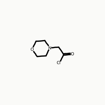 O=C(Cl)CN1CCOCC1